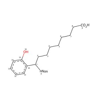 CCCCCCCCCC(CCCCCCCC(=O)O)c1ccccc1O